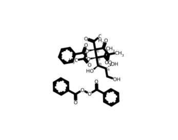 CC(=O)O[C@@](C(C)=O)(C(=O)C(C)=O)[C@](OC(=O)c1ccccc1)(C(C)=O)[C@H](O)[C@H](O)CO.O=C(OOC(=O)c1ccccc1)c1ccccc1